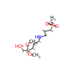 CO[Si](CO)(CCCNCCCS(C)(=O)=O)OC